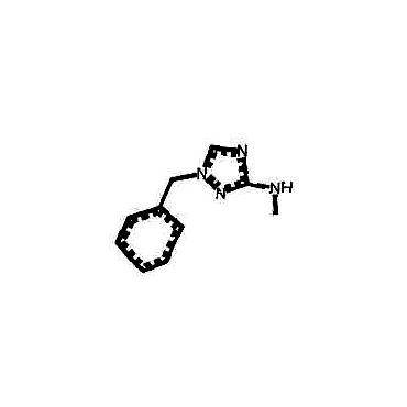 CNc1ncn(Cc2ccccc2)n1